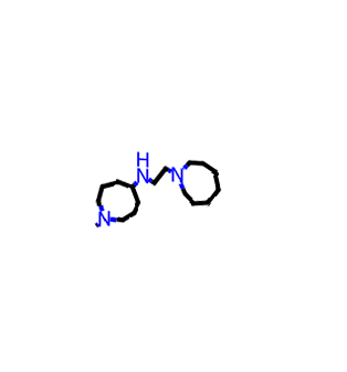 CN1CCCC(NCCN2CCCCCCC2)CCC1